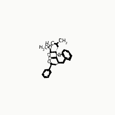 COC(=O)[C@H](CC(C)C)NC(=O)[C@@H](CC(=O)c1ccccc1)Cc1ccccc1